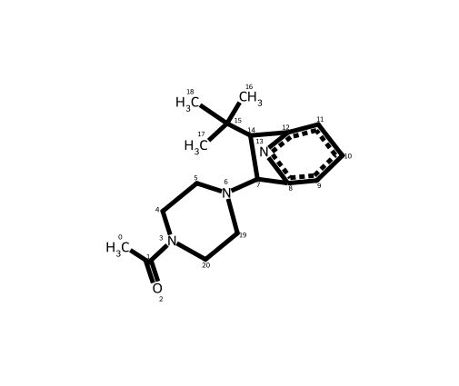 CC(=O)N1CCN(C2c3cccc(n3)C2C(C)(C)C)CC1